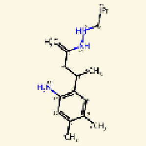 C=C(CC(C)c1cc(C)c(C)cc1N)NNCC(C)C